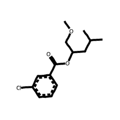 COCC(CC(C)C)OC(=O)c1cccc(Cl)c1